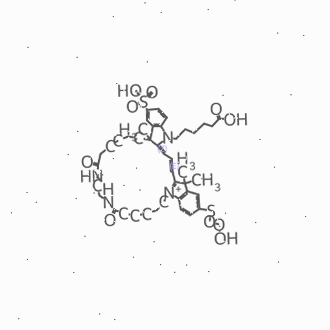 CC1(C)C2=[N+](CCCCCC(=O)NCCNC(=O)CCCCCC3(C)/C(=C/C=C/2)N(CCCCCC(=O)O)c2ccc(S(=O)(=O)O)cc23)c2ccc(SOOO)cc21